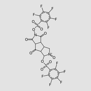 O=C1C2C(=O)N(OS(=O)(=O)c3c(F)c(F)c(F)c(F)c3F)C(=O)C2C2C[N+](=O)C(OS(=O)(=O)c3c(F)c(F)c(F)c(F)c3F)C12